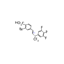 O=C(O)c1ccc(/C=C/C(c2cc(F)c(F)c(F)c2)C(F)(F)F)cc1Br